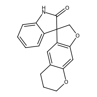 O=C1Nc2ccccc2C12COc1cc3c(cc12)CCCO3